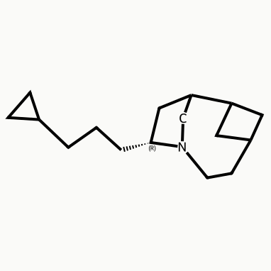 C(CC1CC1)C[C@@H]1CC2CN1CCC1CC2C1